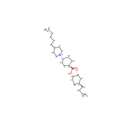 CCCCCC1CCN([C@H]2CC[C@H](C(=O)O[C@H]3CC[C@H](CCC)CC3)CC2)CC1